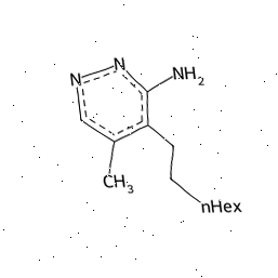 CCCCCCCCc1c(C)cnnc1N